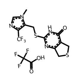 Cn1cnc(C(F)(F)F)c1CSc1nc2c(c(=O)[nH]1)CSC2.O=C(O)C(F)(F)F